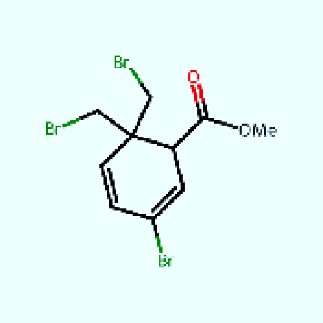 COC(=O)C1C=C(Br)C=CC1(CBr)CBr